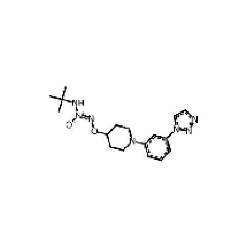 CC(C)(C)N/[N+]([O-])=N/OC1CCN(c2cccc(-n3ccnn3)c2)CC1